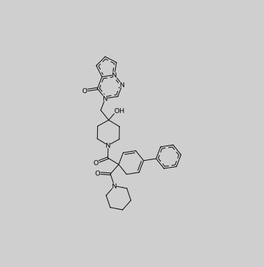 O=C(N1CCCCC1)C1(C(=O)N2CCC(O)(Cn3cnn4cccc4c3=O)CC2)C=CC(c2ccccc2)=CC1